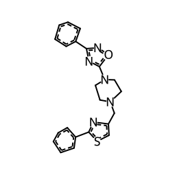 c1ccc(-c2noc(N3CCN(Cc4csc(-c5ccccc5)n4)CC3)n2)cc1